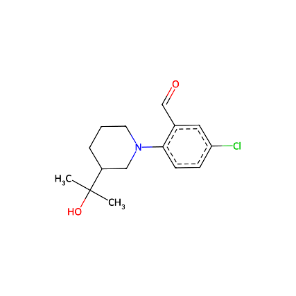 CC(C)(O)C1CCCN(c2ccc(Cl)cc2C=O)C1